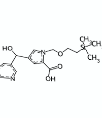 C[Si](C)(C)CCOCn1cc(C(O)c2cccnc2)cc1C(=O)O